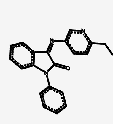 O=C1C(=Nc2ccc(CI)nc2)c2ccccc2N1c1ccccc1